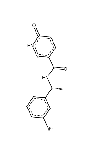 CC(C)c1cccc([C@@H](C)NC(=O)c2ccc(=O)[nH]n2)c1